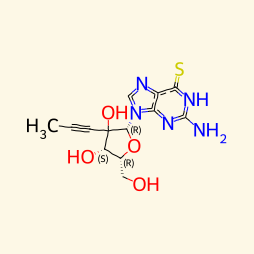 CC#CC1(O)[C@@H](O)[C@@H](CO)O[C@H]1n1cnc2c(=S)[nH]c(N)nc21